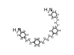 Nc1ccc(CCCc2ccc(CCCCCc3ccc(CCCc4ccc(N)cc4)cc3)cc2)cc1